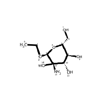 CCO[C@H]1O[C@H](CO)[C@@H](O)[C@H](O)[C@]1(N)O